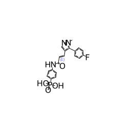 Cn1ncc(/C=C/C(=O)Nc2ccc(P(=O)(O)O)cc2)c1-c1ccc(F)cc1